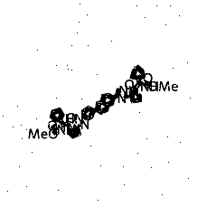 COC(=O)N[C@H](C(=O)N1CCC[C@H]1c1nc(-c2ccc3cc(-c4ccc5[nH]c([C@@H]6CCCN6C(=O)[C@@H](NC(=O)OC)c6ccccc6)nc5c4)ccc3c2)c[nH]1)c1ccccc1